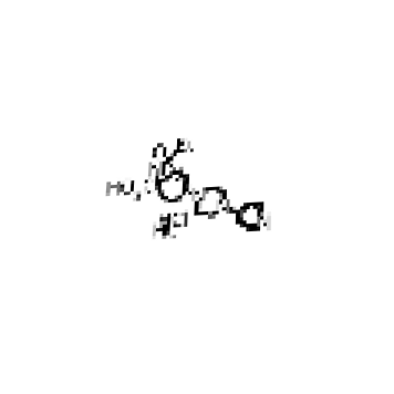 CCC(=O)[C@H]1C[C@H](N2CCN(c3ccncc3)CC2)CC[C@@]1(N)C(=O)O.Cl.Cl